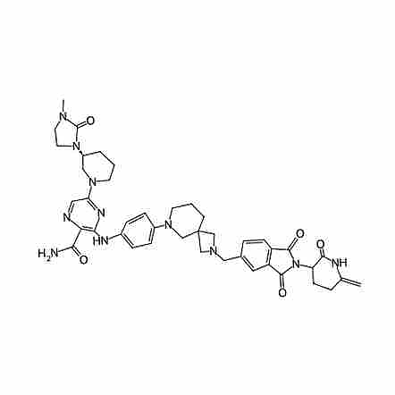 C=C1CCC(N2C(=O)c3ccc(CN4CC5(CCCN(c6ccc(Nc7nc(N8CCC[C@H](N9CCN(C)C9=O)C8)cnc7C(N)=O)cc6)C5)C4)cc3C2=O)C(=O)N1